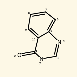 O=C1[N]C=Nc2c[c]ccc21